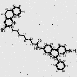 N=c1cc2c(nn1CCCCCCCC(=O)Nc1ccc3c(c1)nc(-c1ccccc1)c1cc(N)ccc13)-c1ccccc1CC2